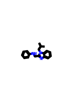 CC(C)Cn1c(CNc2ccccc2)nc2ccccc21